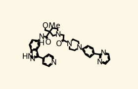 COCC1(C(=O)Nc2ccc3[nH]nc(-c4ccncc4)c3c2)CCN(CC(=O)N2CCN(c3ccc(-c4ncccn4)cc3)CC2)C1